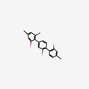 Cc1ccc(-c2ccc(-c3c(I)cc(C)cc3I)cc2I)c(I)c1